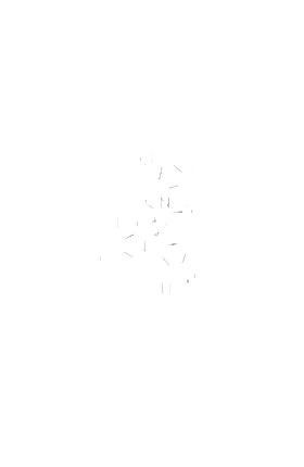 COc1ccc([C@@]2(c3ccc(Cl)cc3)C3C(=O)N(c4cc(Cl)cc(Cl)c4)C(=O)[C@@]32C)cc1